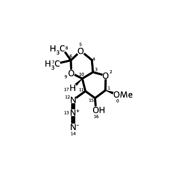 CO[C@@H]1OC2COC(C)(C)O[C@H]2C(N=[N+]=[N-])C1O